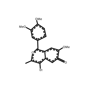 CCc1c2cc(=O)c(OC)cc-2c(-c2ccc(OC)c(OC)c2)oc1C